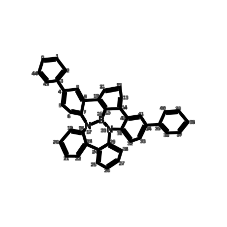 c1ccc(-c2ccc3c(c2)-c2cccc4c2B2N3c3ccccc3-c3ccccc3N2c2ccc(-c3ccccc3)cc2-4)cc1